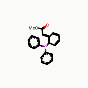 COC(=O)C=C1C=CC=CC1P(c1ccccc1)c1ccccc1